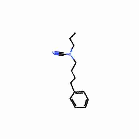 CCCN(C#N)CCCCc1ccccc1